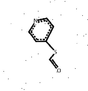 O=CSc1c[c]ncc1